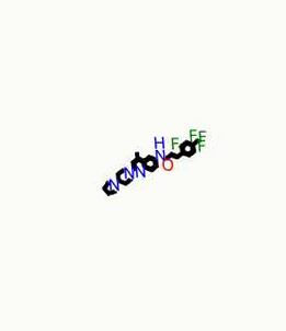 Cc1cc(N2CCC(N3CCCC3)CC2)nc2ccc(NC(=O)/C=C/c3ccc(C(F)(F)F)cc3F)cc12